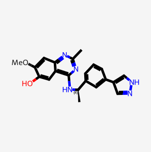 COc1cc2nc(C)nc(N[C@H](C)c3cccc(-c4cn[nH]c4)c3)c2cc1O